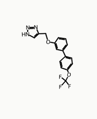 FC(F)(F)Oc1ccc(-c2cccc(OCc3c[nH]nn3)c2)cc1